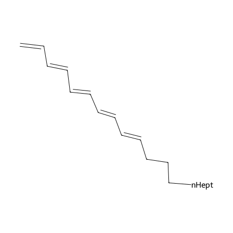 C=CC=CC=CC=CC=CCCCCCC[CH]CCC